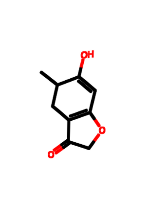 CC1CC2=C(C=C1O)OCC2=O